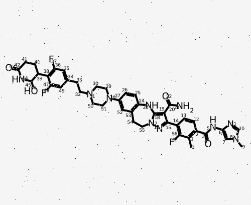 Cc1c(C(=O)Nc2cn(C)cn2)ccc(-c2nn3c(c2C(N)=O)Nc2ccc(N4CCN(CCc5cc(F)c(C6CCC(=O)NC6O)c(F)c5)CC4)cc2CC3)c1F